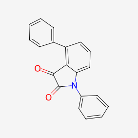 O=C1C(=O)N(c2ccccc2)c2cccc(-c3ccccc3)c21